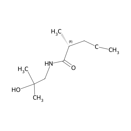 CCC[C@@H](C)C(=O)NCC(C)(C)O